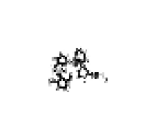 NC1CCCN(c2ncncc2Nc2cccc3cnc(-c4c(F)cccc4F)nc23)C1